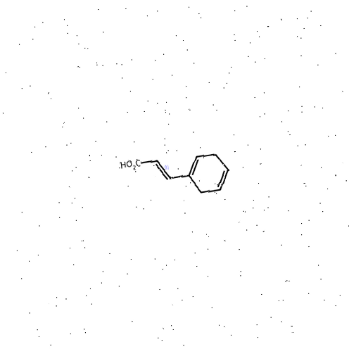 O=C(O)/C=C/C1=CCC=CC1